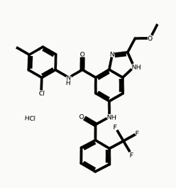 COCc1nc2c(C(=O)Nc3ccc(C)cc3Cl)cc(NC(=O)c3ccccc3C(F)(F)F)cc2[nH]1.Cl